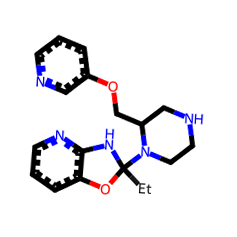 CCC1(N2CCNCC2COc2cccnc2)Nc2ncccc2O1